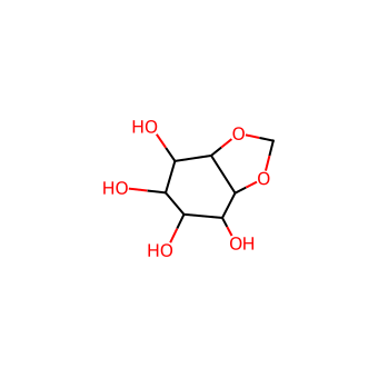 OC1C(O)C(O)C2OCOC2C1O